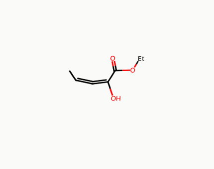 CC=C=C(O)C(=O)OCC